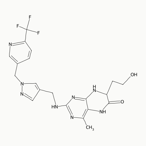 Cc1nc(NCc2cnn(Cc3ccc(C(F)(F)F)nc3)c2)nc2c1NC(=O)C(CCO)N2